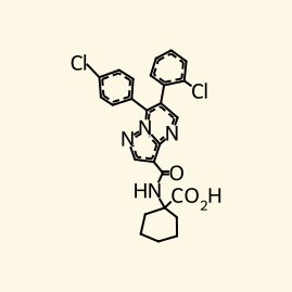 O=C(NC1(C(=O)O)CCCCC1)c1cnn2c(-c3ccc(Cl)cc3)c(-c3ccccc3Cl)cnc12